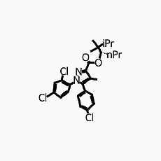 CCC[C@H](OC(=O)c1nn(-c2ccc(Cl)cc2Cl)c(-c2ccc(Cl)cc2)c1C)C(C)(C)C(C)C